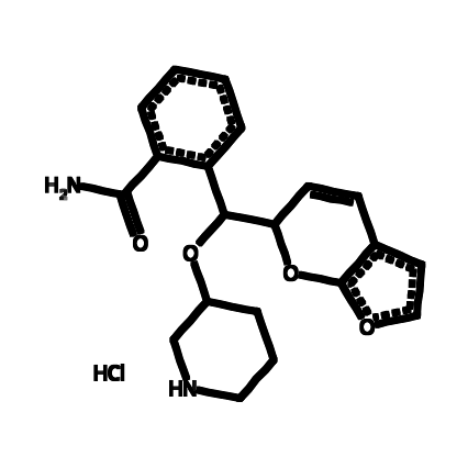 Cl.NC(=O)c1ccccc1C(OC1CCCNC1)C1C=Cc2ccoc2O1